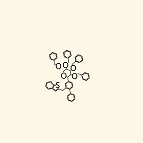 c1ccc(COC[C@H]2OC(c3ccc(-c4ccccc4)c(Cc4cc5ccccc5s4)c3)[C@H](OCc3ccccc3)[C@@H](OCc3ccccc3)[C@@H]2OCc2ccccc2)cc1